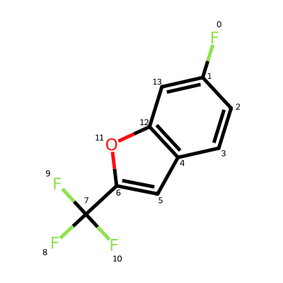 Fc1ccc2cc(C(F)(F)F)oc2c1